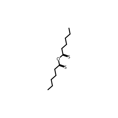 CCCCCC(=S)OC(=S)CCCCC